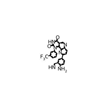 N=Cc1cc(-c2ccc3ncc4c(=O)[nH]c(=O)n(-c5cccc(C(F)(F)F)c5)c4c3n2)ccc1N